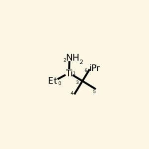 C[CH2][Ti]([NH2])[C](C)(C)C(C)C